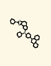 c1ccc(-c2nc3c(ccc4ccc(N(c5ccccc5)c5ccc(-c6cc7ccccc7c7ccccc67)cc5)cc43)o2)cc1